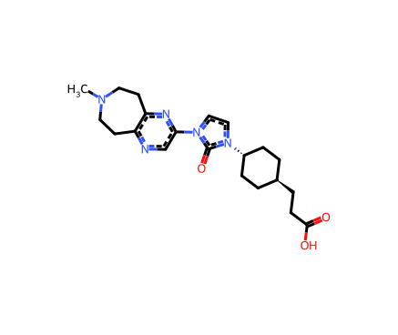 CN1CCc2ncc(-n3ccn([C@H]4CC[C@H](CCC(=O)O)CC4)c3=O)nc2CC1